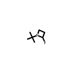 CC(C)(C)N1CCC1F